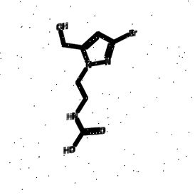 O=C(O)NCCn1nc(Br)cc1CO